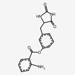 Nc1ccccc1C(=O)Oc1cccc(CC2NC(=O)NC2=O)c1